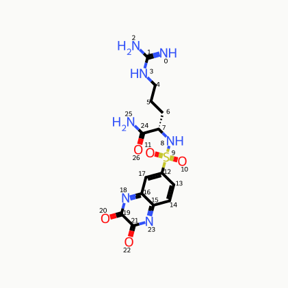 N=C(N)NCCC[C@H](NS(=O)(=O)c1ccc2c(c1)=NC(=O)C(=O)N=2)C(N)=O